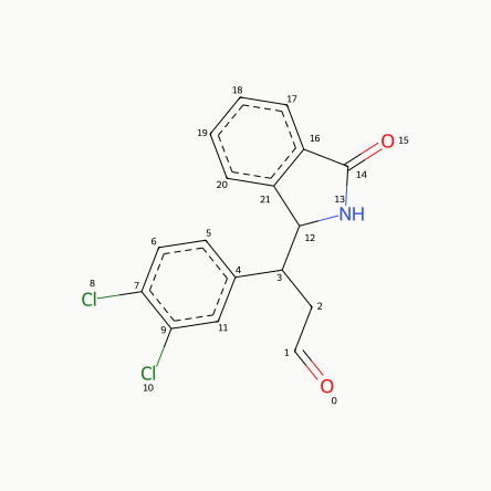 O=CCC(c1ccc(Cl)c(Cl)c1)C1NC(=O)c2ccccc21